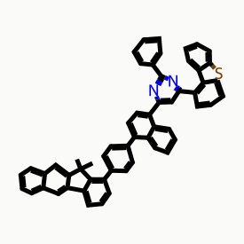 CC1(C)c2cc3ccccc3cc2-c2cccc(-c3ccc(-c4ccc(-c5cc(-c6cccc7sc8ccccc8c67)nc(-c6ccccc6)n5)c5ccccc45)cc3)c21